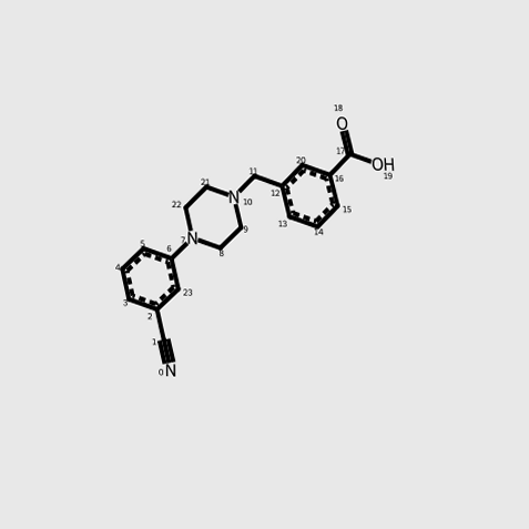 N#Cc1cccc(N2CCN(Cc3cccc(C(=O)O)c3)CC2)c1